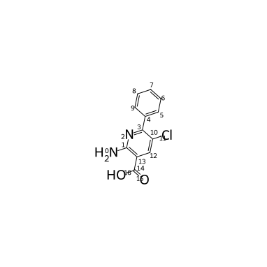 Nc1nc(-c2ccccc2)c(Cl)cc1C(=O)O